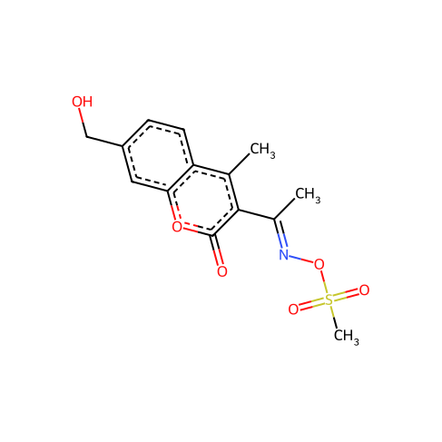 C/C(=N\OS(C)(=O)=O)c1c(C)c2ccc(CO)cc2oc1=O